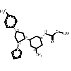 Cc1ccc([C@@H]2C[C@H](C3C[C@H](C)C[C@@H](NC(=O)OC(C)(C)C)C3)[C@@H](n3cccc3)C2)cc1